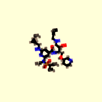 C#CCNC[C@@H](O)[C@H](COc1cccnc1)NC(=O)c1cc(NC[C@H]2C[C@@H]2C)nc(N(C)S(=O)(=O)C(C)C)c1